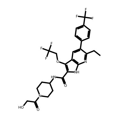 CCc1nc2[nH]c(C(=O)NC3CCN(C(=O)CO)CC3)c(OCC(F)(F)F)c2cc1-c1ccc(C(F)(F)F)cc1